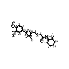 COc1ccc(-c2nc(CSCC(=O)NC3CCCCC3C)c(C)o2)cc1OC